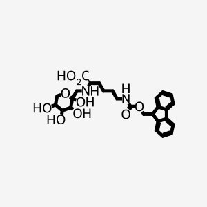 O=C(NCCCC[C@H](NCC1(O)OCC(O)C(O)C1O)C(=O)O)OCC1c2ccccc2-c2ccccc21